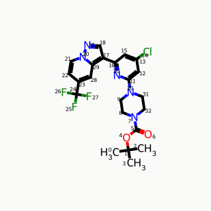 CC(C)(C)OC(=O)N1CCN(c2cc(Cl)cc(-c3cnn4ccc(C(F)(F)F)cc34)n2)CC1